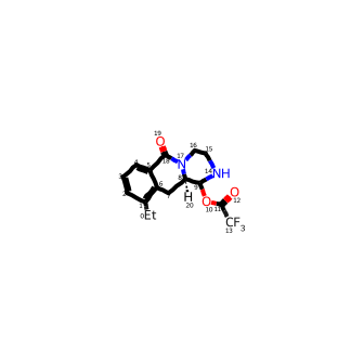 CCc1cccc2c1C[C@@H]1C(OC(=O)C(F)(F)F)NCCN1C2=O